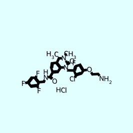 C[C@H]1c2ccc(C(=O)NCc3c(F)cc(F)cc3F)cc2N(Cc2c(F)cc(OCCN)cc2Cl)C(=O)N1C.Cl